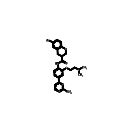 CC(=O)c1ccc2c(c1)CC(C(=O)Nc1ccc(-c3ccnc(N)n3)cc1OCCN(C)C)CO2